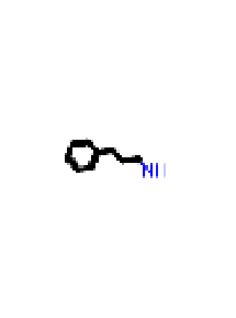 [NH]CCCc1ccccc1